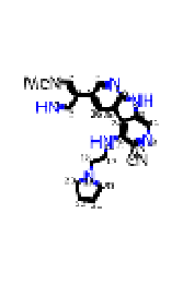 CN/C=C(\C=N)c1cnc2[nH]c3cnc(C#N)c(NCCN4CCCC4)c3c2c1